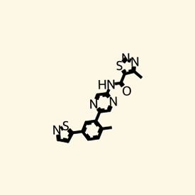 Cc1ccc(-c2ccns2)cc1-c1cnc(NC(=O)c2snnc2C)cn1